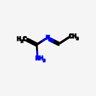 C=C(N)N=CC